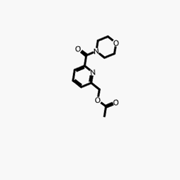 CC(=O)OCc1cccc(C(=O)N2CCOCC2)n1